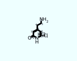 Cl.Cl.NCCc1cc[nH]c(=O)c1